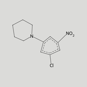 O=[N+]([O-])c1cc(Cl)cc(N2CCCCC2)c1